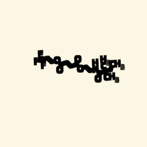 CCC(C)(C)C(=O)NCCOC(=O)CCC(=O)OCCC(F)(F)F